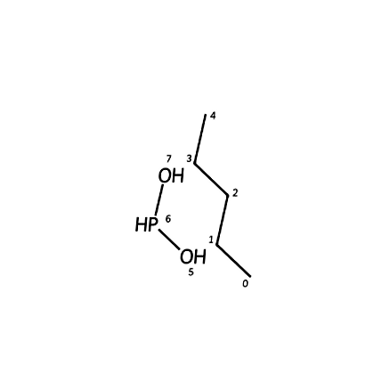 CCCCC.OPO